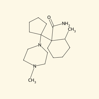 CC1CCCCC1(C(N)=O)C1(N2CCN(C)CC2)CCCC1